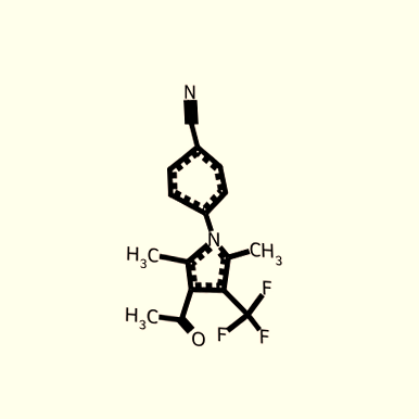 CC(=O)c1c(C(F)(F)F)c(C)n(-c2ccc(C#N)cc2)c1C